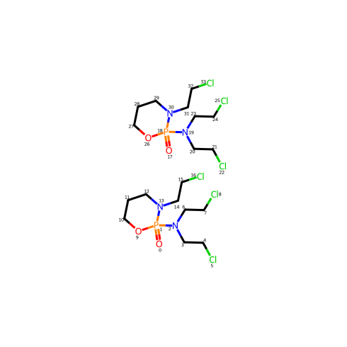 O=P1(N(CCCl)CCCl)OCCCN1CCCl.O=P1(N(CCCl)CCCl)OCCCN1CCCl